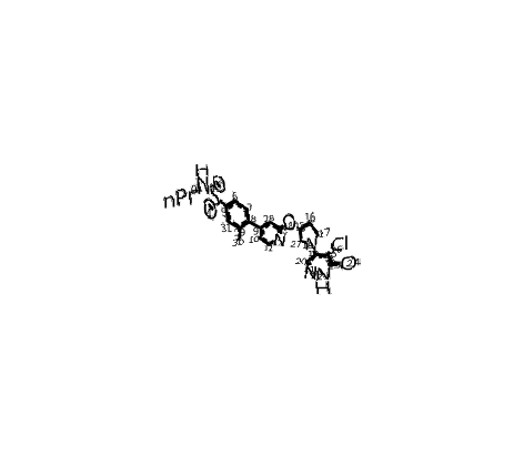 CCCNS(=O)(=O)c1ccc(-c2ccnc(O[C@@H]3CCN(c4cn[nH]c(=O)c4Cl)C3)c2)c(C)c1